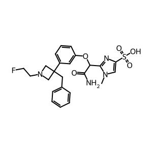 Cn1cc(S(=O)(=O)O)nc1C(Oc1cccc(C2(Cc3ccccc3)CN(CCF)C2)c1)C(N)=O